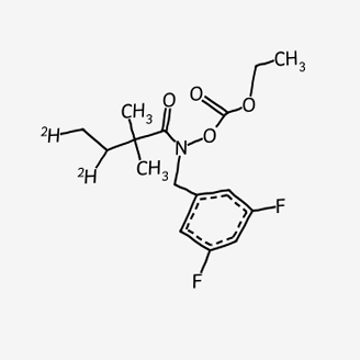 [2H]CC([2H])C(C)(C)C(=O)N(Cc1cc(F)cc(F)c1)OC(=O)OCC